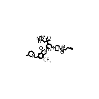 C#CCCS(=O)(=O)N1CCN(c2cc(C3(Cc4nncn4C)COC3)cc(N3Cc4c(cc(CN5CCCC(C)C5)cc4C(F)(F)F)C3=O)n2)CC1